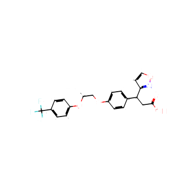 C[C@@H](COc1ccc(C(CC(=O)O)c2ccon2)cc1)Oc1ccc(C(F)(F)F)cc1